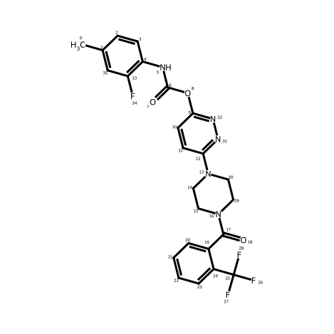 Cc1ccc(NC(=O)Oc2ccc(N3CCN(C(=O)c4ccccc4C(F)(F)F)CC3)nn2)c(F)c1